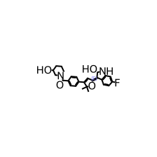 CC1(C)O/C(=C2\c3ccc(F)cc3NC2O)C=C1c1ccc(C(=O)N2CCCC(O)C2)cc1